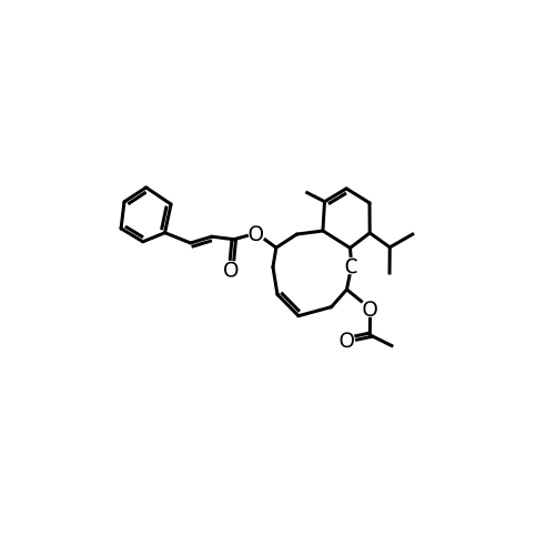 CC(=O)OC1CC=CCC(OC(=O)C=Cc2ccccc2)CC2C(C)=CCC(C(C)C)C2C1